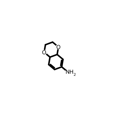 NC1=CC2OCCOC2C=C1